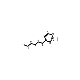 [CH2]CCCCCC1C=CCNC1